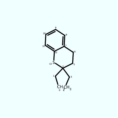 CCC1(CC)C[CH]c2ccccc2S1